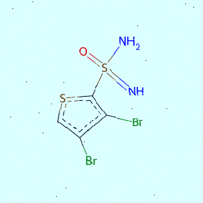 N=S(N)(=O)c1scc(Br)c1Br